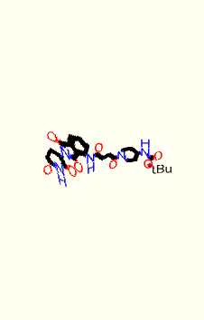 CC(C)(C)OC(=O)NC1CCN(C(=O)CCC(=O)Nc2cccc3c2C(=O)N(C2CCC(=O)NC2=O)C3=O)CC1